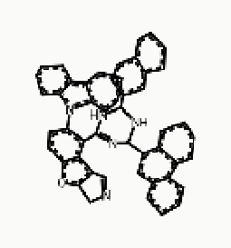 C1=NCc2oc3ccc(-n4c5ccccc5c5ccccc54)c(C4=NC(c5cc6ccccc6c6ccccc56)NC(c5ccc6ccccc6c5)N4)c3c21